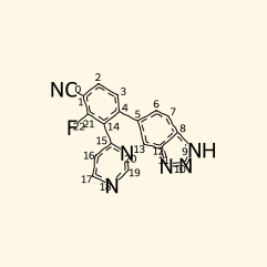 N#Cc1ccc(-c2ccc3[nH]nnc3c2)c(-c2ccncn2)c1F